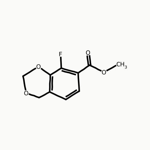 COC(=O)c1ccc2c(c1F)OCOC2